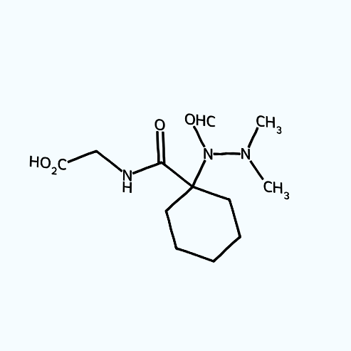 CN(C)N(C=O)C1(C(=O)NCC(=O)O)CCCCC1